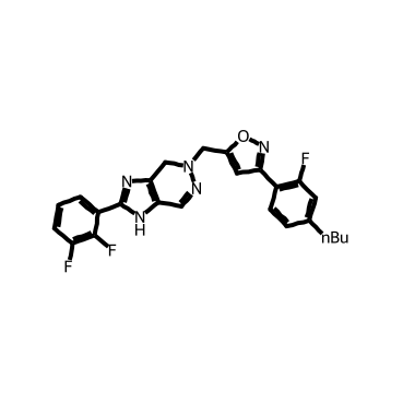 CCCCc1ccc(-c2cc(CN3Cc4nc(-c5cccc(F)c5F)[nH]c4C=N3)on2)c(F)c1